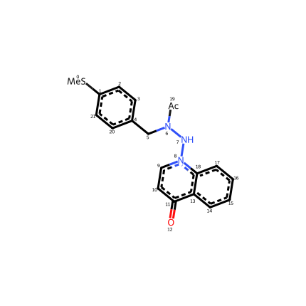 CSc1ccc(CN(Nn2ccc(=O)c3ccccc32)C(C)=O)cc1